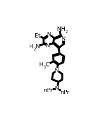 CCCN(CCC)C1CCN(c2ccc(-c3cnc(N)c4nc(CC)c(N)nc34)cc2C)CC1